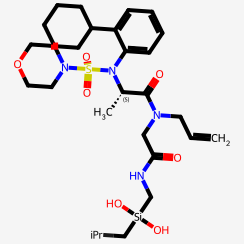 C=CCN(CC(=O)NC[Si](O)(O)CC(C)C)C(=O)[C@H](C)N(c1ccccc1C1CCCCC1)S(=O)(=O)N1CCOCC1